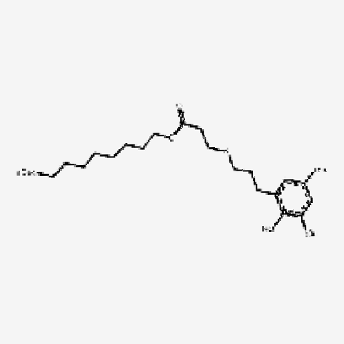 CCCCCCCCCCCCCCCCCCOC(=O)CCSCCCc1cc(C(C)(C)C)cc(C(C)(C)C)c1O